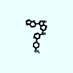 CN1CCN(c2cc(Nc3cnc4[nH]cc(-c5ccc6nccn6n5)c4c3)ccn2)CC1